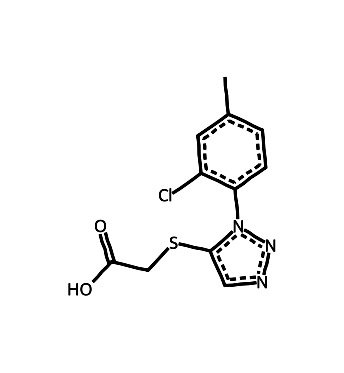 Cc1ccc(-n2nncc2SCC(=O)O)c(Cl)c1